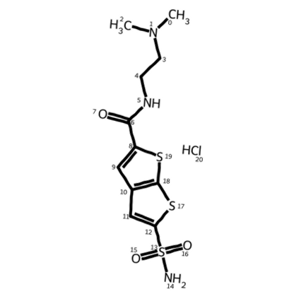 CN(C)CCNC(=O)c1cc2cc(S(N)(=O)=O)sc2s1.Cl